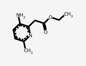 CCOC(=O)Cc1nc(C)ccc1N